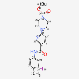 Cc1ccc(NC(=O)c2ccc(N3CCN(C(=O)OC(C)(C)C)CC3)nc2)cc1I